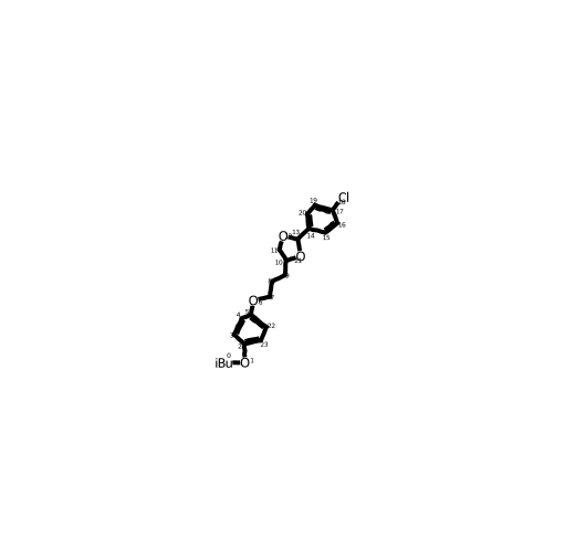 CCC(C)Oc1ccc(OCCCC2COC(c3ccc(Cl)cc3)O2)cc1